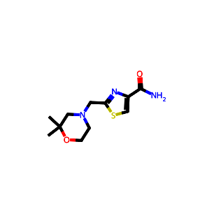 CC1(C)CN(Cc2nc(C(N)=O)cs2)CCO1